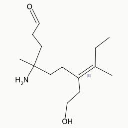 CC/C(C)=C(/CCO)CCC(C)(N)CCC=O